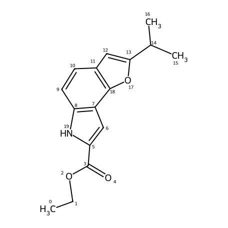 CCOC(=O)c1cc2c(ccc3cc(C(C)C)oc32)[nH]1